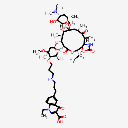 CC[C@@H]1OC(=O)[C@H](C)[C@H](O[C@@H]2C[C@](C)(OC)[C@H](OCCCNCCCc3ccc4c(c3)c(=O)c(C(=O)O)cn4CC)[C@H](C)O2)[C@@H](C)[C@H](O[C@H]2O[C@@H](C)C[C@@H](N(C)C)[C@H]2O)[C@](C)(OC)C[C@H](C)C(=O)C(C)[C@H]2NC(=O)O[C@@]12C